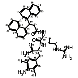 N=C(N)NCCC[C@@H](NC(=O)CC(c1cccc2ccccc12)c1cccc2ccccc12)C(=O)N[C@@H](Cc1cc(I)c(N)c(I)c1)C(N)=O